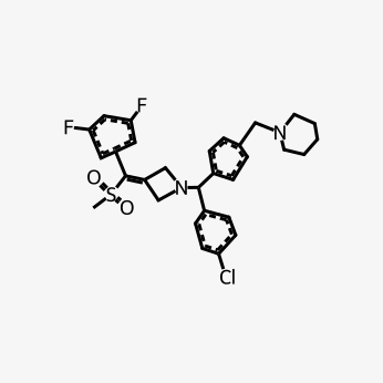 CS(=O)(=O)C(=C1CN(C(c2ccc(Cl)cc2)c2ccc(CN3CCCCC3)cc2)C1)c1cc(F)cc(F)c1